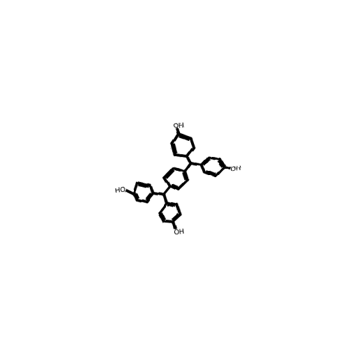 OC1=CCC(C(c2ccc(O)cc2)c2ccc(C(c3ccc(O)cc3)c3ccc(O)cc3)cc2)C=C1